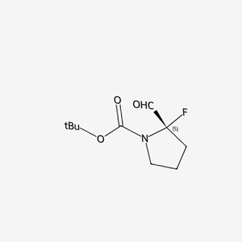 CC(C)(C)OC(=O)N1CCC[C@]1(F)C=O